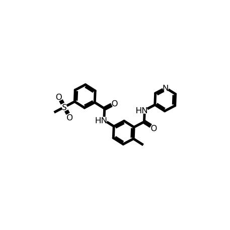 Cc1ccc(NC(=O)c2cccc(S(C)(=O)=O)c2)cc1C(=O)Nc1cccnc1